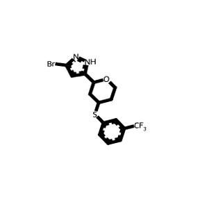 FC(F)(F)c1cccc(SC2CCOC(c3cc(Br)n[nH]3)C2)c1